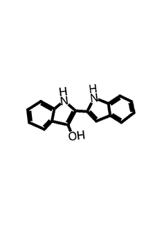 Oc1c(-c2cc3ccccc3[nH]2)[nH]c2ccccc12